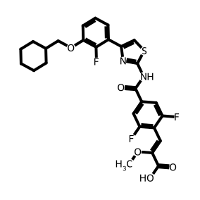 COC(=Cc1c(F)cc(C(=O)Nc2nc(-c3cccc(OCC4CCCCC4)c3F)cs2)cc1F)C(=O)O